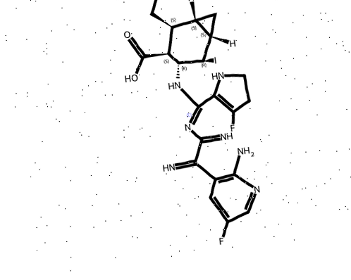 CC[C@H]1[C@@H]2C[C@@H]2[C@@H](I)[C@H](N/C(=N/C(=N)C(=N)c2cc(F)cnc2N)C2=C(F)CCN2)[C@H]1C(=O)O